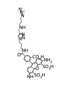 [N-]=[N+]=NCCCNCc1cn(CCCNC(=O)c2ccc(-c3c4ccc(=N)c(S(=O)(=O)O)c-4oc4c(S(=O)(=O)O)c(N)ccc34)c(C(=O)O)c2)nn1